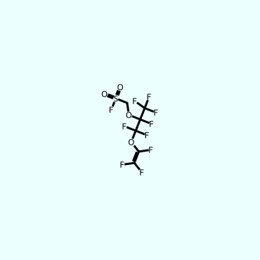 O=S(=O)(F)COC(F)(C(F)(F)F)C(F)(F)OC(F)=C(F)F